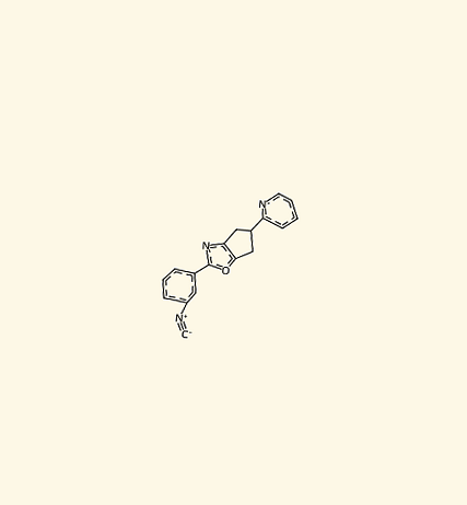 [C-]#[N+]c1cccc(-c2nc3c(o2)CC(c2ccccn2)C3)c1